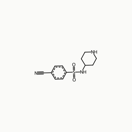 N#Cc1ccc(S(=O)(=O)NC2CCNCC2)cc1